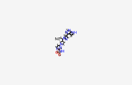 N#CCC(C1CCN(c2ccnc(N[SH](=O)=O)n2)C1)n1cc(-c2ncnc3[nH]ccc23)cn1